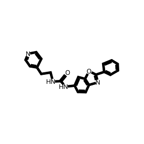 O=C(NCCc1ccncc1)Nc1ccc2nc(-c3ccccc3)oc2c1